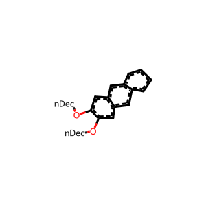 CCCCCCCCCCOc1cc2cc3ccccc3cc2cc1OCCCCCCCCCC